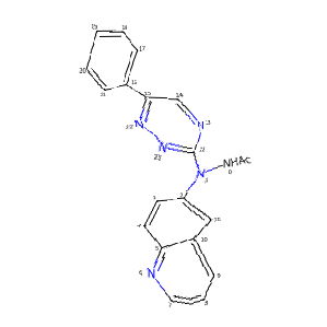 CC(=O)NN(c1ccc2ncccc2c1)c1ncc(-c2ccccc2)nn1